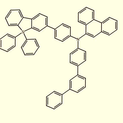 c1ccc(-c2cccc(-c3ccc(N(c4ccc(-c5ccc6c(c5)[Si](c5ccccc5)(c5ccccc5)c5ccccc5-6)cc4)c4cc5ccccc5c5ccccc45)cc3)c2)cc1